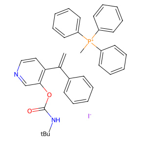 C=C(c1ccccc1)c1ccncc1OC(=O)NC(C)(C)C.C[P+](c1ccccc1)(c1ccccc1)c1ccccc1.[I-]